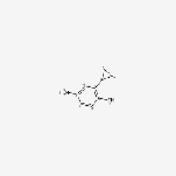 N#Cc1ccc(N)cc1C1CC1